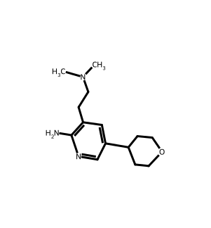 CN(C)CCc1cc(C2CCOCC2)cnc1N